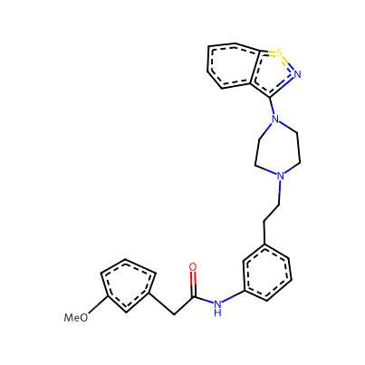 COc1cccc(CC(=O)Nc2cccc(CCN3CCN(c4nsc5ccccc45)CC3)c2)c1